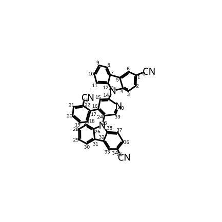 N#Cc1ccc2c(c1)c1ccccc1n2-c1cc(-c2ccccc2C#N)c(-n2c3ccccc3c3cc(C#N)ccc32)cn1